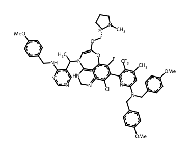 COc1ccc(CNc2ncncc2C(C)N2C=C(OC[C@@H]3CCCN3C)Oc3c(F)c(-c4nc(N(Cc5ccc(OC)cc5)Cc5ccc(OC)cc5)cc(C)c4C(F)(F)F)c(Cl)c4c3=C2NCN=4)cc1